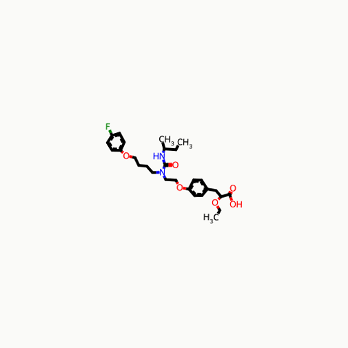 CCOC(Cc1ccc(OCCN(CCCCOc2ccc(F)cc2)C(=O)NC(C)CC)cc1)C(=O)O